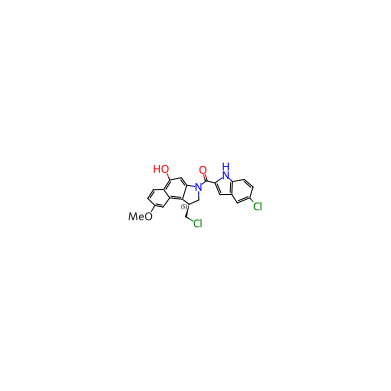 COc1ccc2c(O)cc3c(c2c1)[C@H](CCl)CN3C(=O)c1cc2cc(Cl)ccc2[nH]1